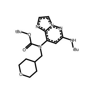 CCC(C)Nc1cc(N(CC2CCOCC2)C(=O)OC(C)(C)C)c2nccn2n1